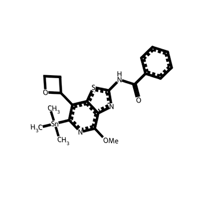 COc1n[c]([Sn]([CH3])([CH3])[CH3])c(C2CCO2)c2sc(NC(=O)c3ccccc3)nc12